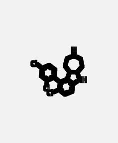 Clc1ccc(-c2c(Cl)ccc3c2C2CCNCCC2N3)c(Cl)c1